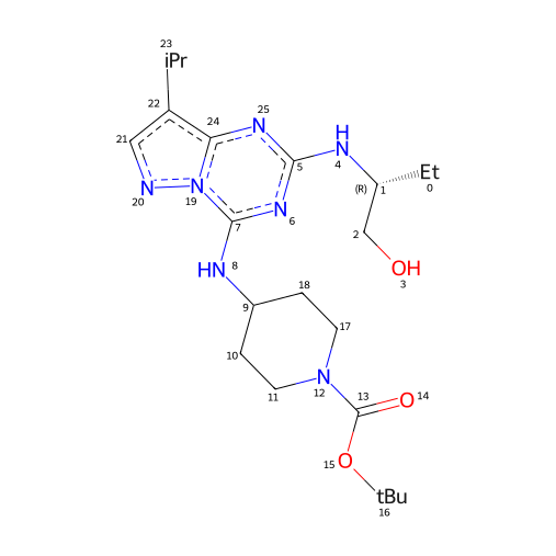 CC[C@H](CO)Nc1nc(NC2CCN(C(=O)OC(C)(C)C)CC2)n2ncc(C(C)C)c2n1